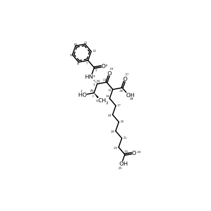 C[C@@H](O)[C@H](NC(=O)c1ccccc1)C(=O)C(CCCCCCCC(=O)O)C(=O)O